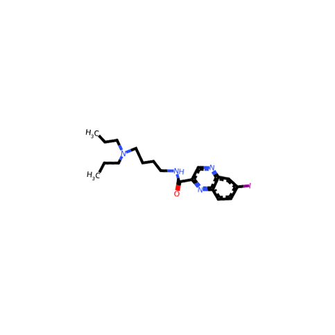 CCCN(CCC)CCCCNC(=O)c1cnc2cc(I)ccc2n1